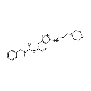 O=C(NCc1ccccc1)Oc1ccc2c(NCCCN3CCOCC3)noc2c1